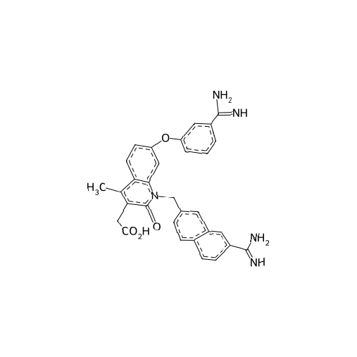 Cc1c(CC(=O)O)c(=O)n(Cc2ccc3ccc(C(=N)N)cc3c2)c2cc(Oc3cccc(C(=N)N)c3)ccc12